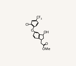 COC(=O)CC1CC(O)c2cc(Oc3ccc(C(F)(F)F)cc3Cl)ccc21